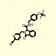 N#Cc1ccc(CN2C(=O)c3ccccc3C2C(=O)NCc2ccc(OC(F)(F)F)cc2)cn1